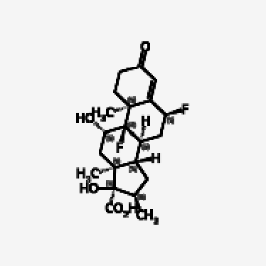 C[C@@H]1C[C@H]2[C@@H]3C[C@H](F)C4=CC(=O)CC[C@]4(C)[C@@]3(F)[C@@H](O)C[C@]2(C)[C@@]1(O)C(=O)O